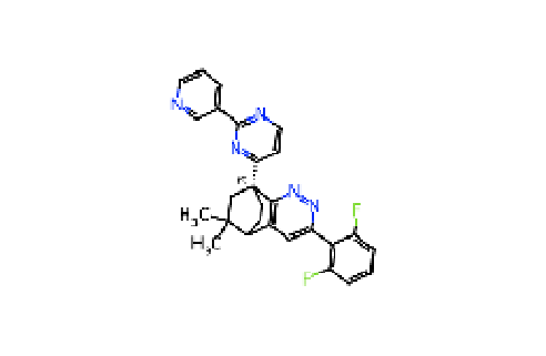 CC1(C)C[C@]2(c3ccnc(-c4cccnc4)n3)CCC1c1cc(-c3c(F)cccc3F)nnc12